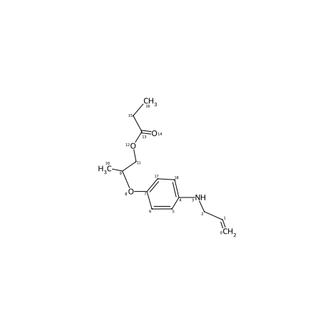 C=CCNc1ccc(OC(C)COC(=O)CC)cc1